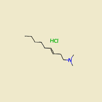 CCCCCC=CCCN(C)C.Cl